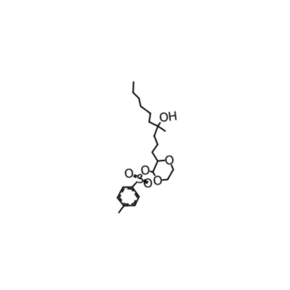 CCCCCCC(C)(O)CCCC1OCCOC1OS(=O)(=O)c1ccc(C)cc1